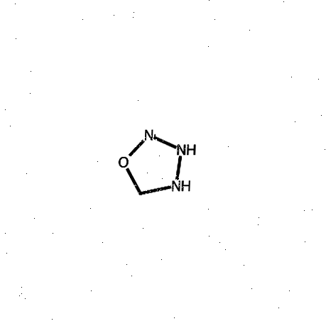 C1NN[N]O1